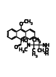 COc1c2ccccc2c(C=O)c2cc(CC(C)(NO)C(C)(C)N(C)O)ccc12